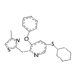 Cc1csc(Cc2ncc(SC3CCCCC3)cc2Oc2ccccc2)n1